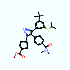 COC(=O)c1ccc(-c2n[nH]c(-c3cc(SC(C)C)cc(C(C)(C)C)c3)c2-c2ccc(C(=O)N(C)C)cc2)cc1